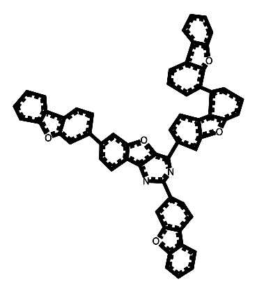 c1ccc2c(c1)oc1cc(-c3ccc4c(c3)oc3c(-c5ccc6c(c5)oc5cccc(-c7cccc8c7oc7ccccc78)c56)nc(-c5ccc6c(c5)oc5ccccc56)nc34)ccc12